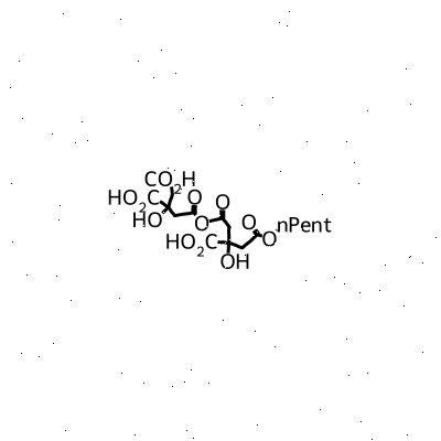 CCCCCOC(=O)CC(O)(CC(=O)OC(=O)CC(O)(CC(=O)O)C(=O)O)C(=O)O